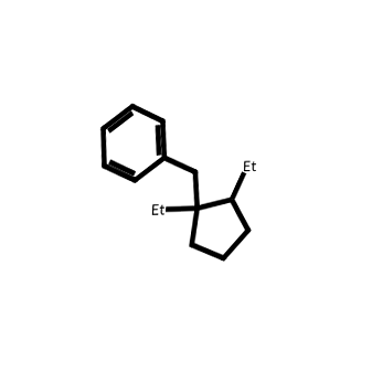 CCC1CCCC1(CC)Cc1ccccc1